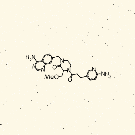 COC[C@H]1C(=O)N(Cc2ccc3c(N)ncnc3c2)CCN1C(=O)CCc1ccc(N)nc1